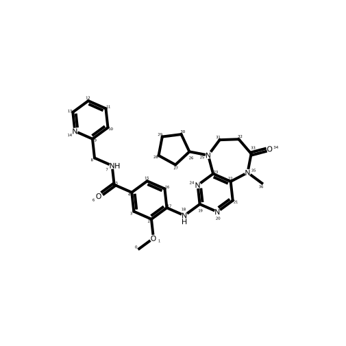 COc1cc(C(=O)NCc2ccccn2)ccc1Nc1ncc2c(n1)N(C1CCCC1)CCC(=O)N2C